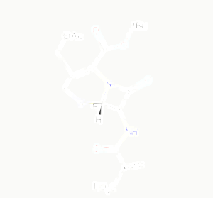 C=C(C(=O)O)C(=O)NC1C(=O)N2C(C(=O)OC(C)(C)C)=C(COC(C)=O)CS[C@@H]12